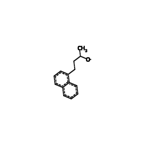 CC([O])CCc1cccc2ccccc12